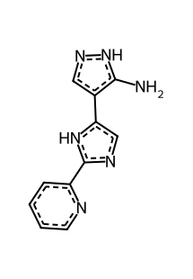 Nc1[nH]ncc1-c1cnc(-c2ccccn2)[nH]1